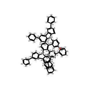 N#Cc1ccc(-n2c3ccc(-c4ccccc4)cc3c3cc(-c4ccccc4)ccc32)c(-c2cccc(-n3c4ccc(-c5ccccc5)cc4c4cc(-c5ccccc5)ccc43)c2-c2nc(-c3ccccc3)nc(-c3ccccc3)n2)c1